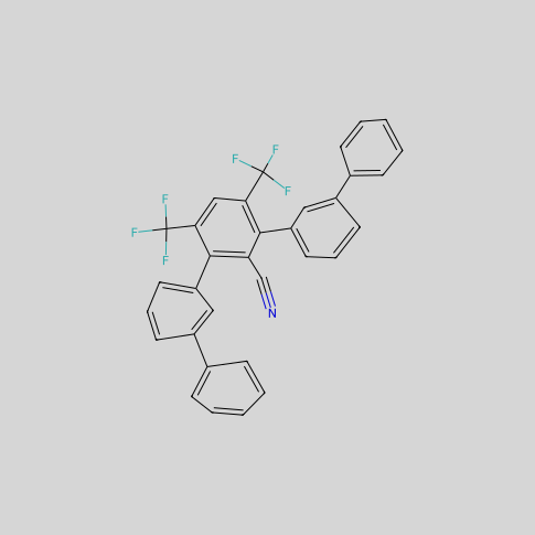 N#Cc1c(-c2cccc(-c3ccccc3)c2)c(C(F)(F)F)cc(C(F)(F)F)c1-c1cccc(-c2ccccc2)c1